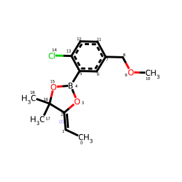 C/C=C1\OB(c2cc(COC)ccc2Cl)OC1(C)C